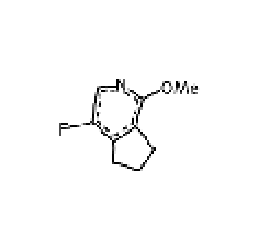 COc1ncc(F)c2c1CCC2